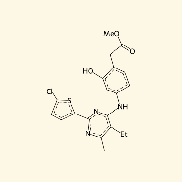 CCc1c(C)nc(-c2ccc(Cl)s2)nc1Nc1ccc(CC(=O)OC)c(O)c1